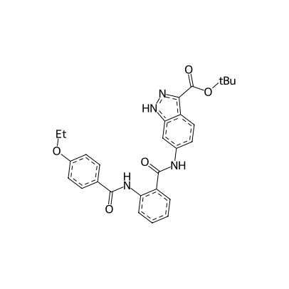 CCOc1ccc(C(=O)Nc2ccccc2C(=O)Nc2ccc3c(C(=O)OC(C)(C)C)n[nH]c3c2)cc1